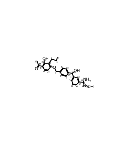 CCCc1c(OCc2ccc(C(O)c3cccc(/C(N)=N/O)c3)cc2)ccc(C(C)=O)c1O